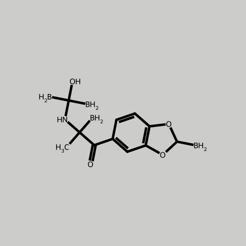 BC1Oc2ccc(C(=O)C(B)(C)NC(B)(B)O)cc2O1